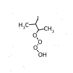 CC(I)C(C)OOOO